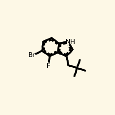 CC(C)(C)Cc1c[nH]c2ccc(Br)c(F)c12